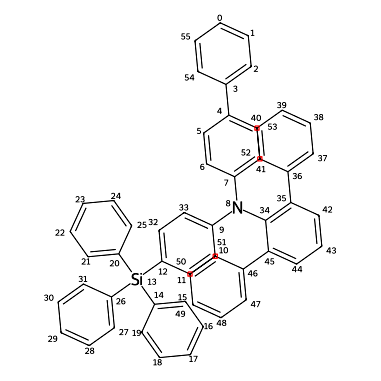 c1ccc(-c2ccc(N(c3ccc([Si](c4ccccc4)(c4ccccc4)c4ccccc4)cc3)c3c(-c4ccccc4)cccc3-c3ccccc3)cc2)cc1